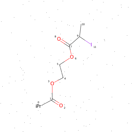 CC(C)C(=O)OCCOC(=O)C(C)I